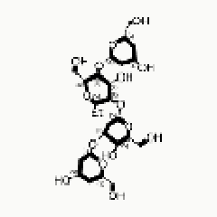 CC[C@@H]1O[C@H](CO)[C@@H](O[C@H]2C[C@@H](O)C[C@@H](CO)O2)[C@H](O)[C@H]1O[C@H]1C[C@@H](O[C@H]2C[C@@H](O)C[C@@H](CO)O2)[C@H](O)[C@@H](CO)O1